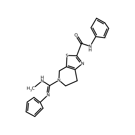 CNC(=Nc1ccccc1)N1CCc2nc(C(=O)Nc3[c]cccc3)sc2C1